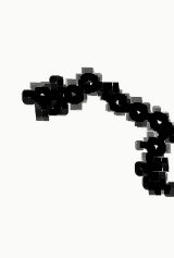 Cc1cc(-c2n[nH]c3ccc(-c4ccc(N5CCC(CN[C@H]6CCCN(c7ccc8c(c7)C(=O)N(C7CCC(=O)NC7=O)C8=O)C6)CC5)cc4)cc23)ccc1CNC(=O)c1nc(C(C)(C)C)no1